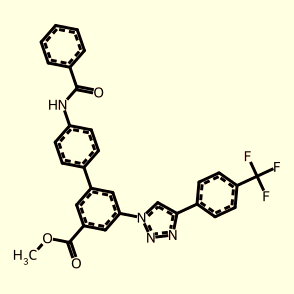 COC(=O)c1cc(-c2ccc(NC(=O)c3ccccc3)cc2)cc(-n2cc(-c3ccc(C(F)(F)F)cc3)nn2)c1